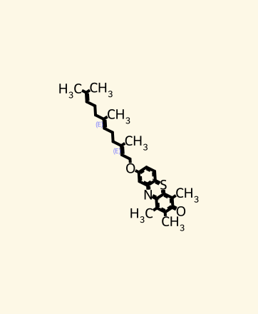 CC(C)=CCC/C(C)=C/CC/C(C)=C/COc1ccc2sc3c(C)c(=O)c(C)c(C)c-3nc2c1